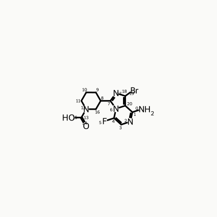 Nc1ncc(F)n2c(C3CCCN(C(=O)O)C3)nc(Br)c12